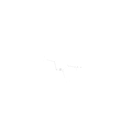 CNN/C(C)=C\CC(F)(F)F